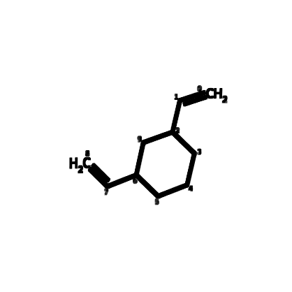 C=CC1CCCC(C=C)C1